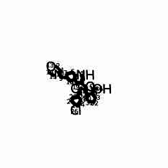 O=C(c1c[nH]c2ccc(CN3CCOCC3)cc2c1=O)N(Cc1ccc(Cl)cc1)c1ccccc1CO